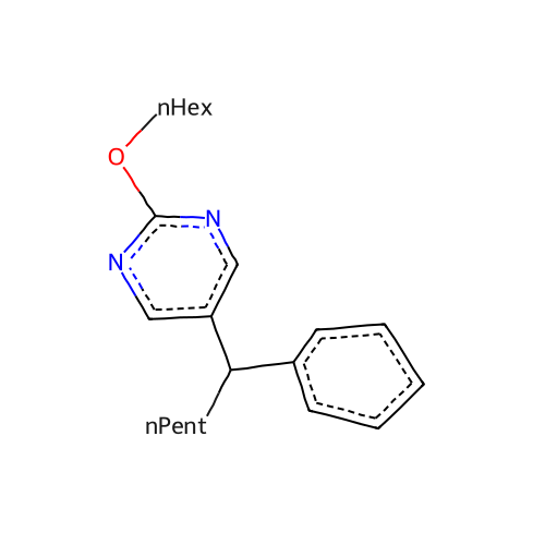 CCCCCCOc1ncc(C(CCCCC)c2ccccc2)cn1